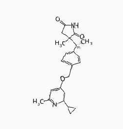 Cc1cc(OCc2ccc([C@@H](C)C3(C)CC(=O)NC3=O)cc2)cc(C2CC2)n1